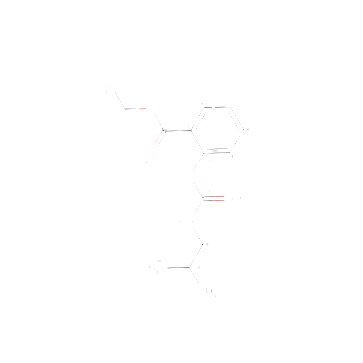 CCOC(=O)c1ccccc1OC(=O)O[CH]C(C)C